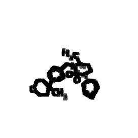 C[C@H]1CC[C@H](c2ccccc2)S(=O)(=O)N1Cc1ccc(C2(C)CCOCC2)cc1